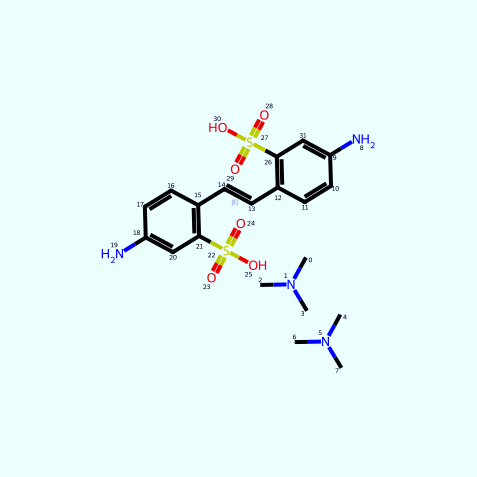 CN(C)C.CN(C)C.Nc1ccc(/C=C/c2ccc(N)cc2S(=O)(=O)O)c(S(=O)(=O)O)c1